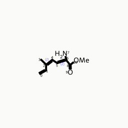 C=C/C(C)=C\C=C(/N)C(=O)OC